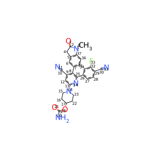 CN1C(=O)Cc2cc(-c3c(C#N)cc(N4CCC(OC(N)=O)CC4)nc3-c3ccc(C#N)c(F)c3)ccc21